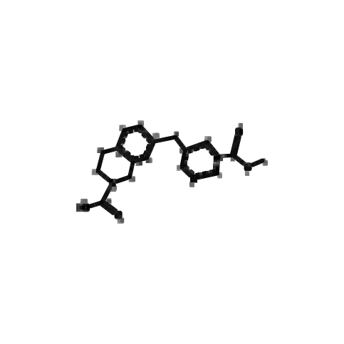 COC(=O)c1cncc(Cc2ccc3c(c2)CN(C(=O)O)CC3)c1